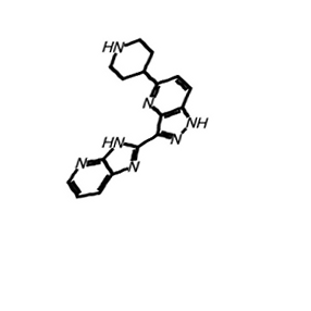 c1cnc2[nH]c(-c3n[nH]c4ccc(C5CCNCC5)nc34)nc2c1